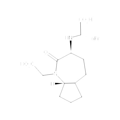 CCC[C@H](N[C@H]1CCC2CCC[C@@H]2N(CC(=O)O)C1=O)C(=O)O